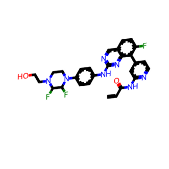 C=CC(=O)Nc1cc(-c2c(F)ccc3cnc(Nc4ccc(N5CCN(CCO)C(F)C5F)cc4)nc23)ccn1